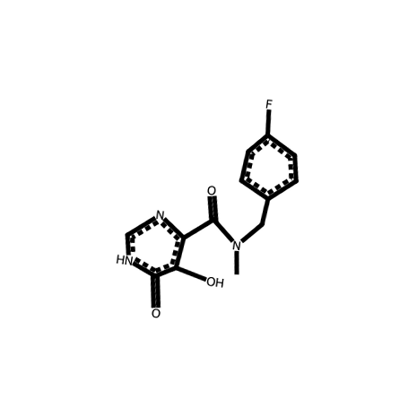 CN(Cc1ccc(F)cc1)C(=O)c1nc[nH]c(=O)c1O